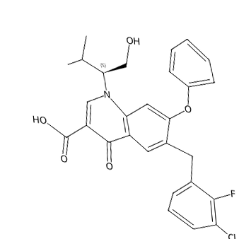 CC(C)[C@@H](CO)n1cc(C(=O)O)c(=O)c2cc(Cc3cccc(Cl)c3F)c(Oc3ccccc3)cc21